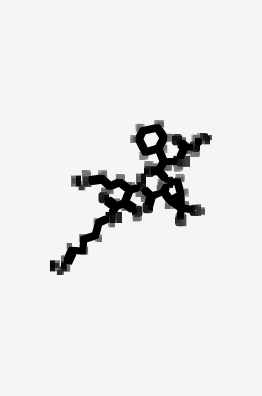 C=CCCCCNC(=O)C(=O)C(CCC=C)NC(=O)[C@@H]1C2C(CN1C(=O)C(NC(=O)OC(C)C)C1CCCCC1)C2(Cl)Cl